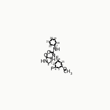 COc1cc(F)c([C@@H]2CNC(=O)[C@H]2NC(=O)Nc2ccccc2)c(F)c1